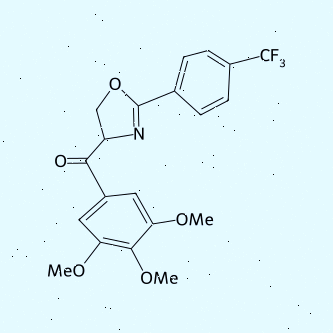 COc1cc(C(=O)C2COC(c3ccc(C(F)(F)F)cc3)=N2)cc(OC)c1OC